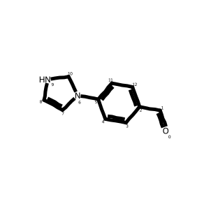 O=Cc1ccc(N2C=CNC2)cc1